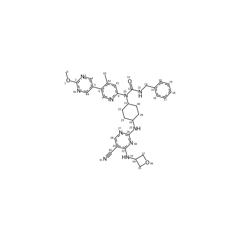 COc1ncc(-c2cnc(N(C(=O)NCc3ccccc3)C3CCC(Nc4ncc(C#N)c(NC5COC5)n4)CC3)cc2C)cn1